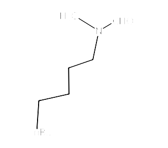 CCCCCCCCN(C)C=O